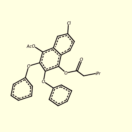 CC(=O)Oc1c(Oc2ccccc2)c(Oc2ccccc2)c(OC(=O)CC(C)C)c2ccc(Cl)cc12